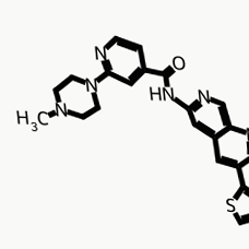 CN1CCN(c2cc(C(=O)Nc3cc4cc(-c5cncs5)cnc4cn3)ccn2)CC1